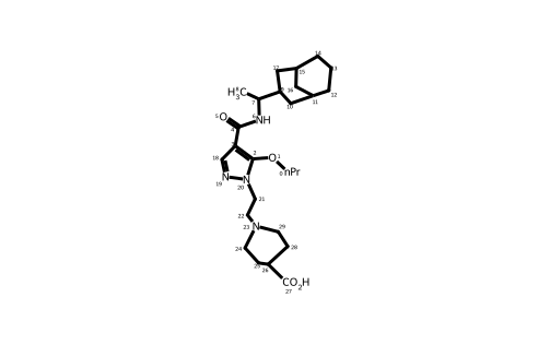 CCCOc1c(C(=O)NC(C)C2CC3CCCC(C3)C2)cnn1CCN1CCC(C(=O)O)CC1